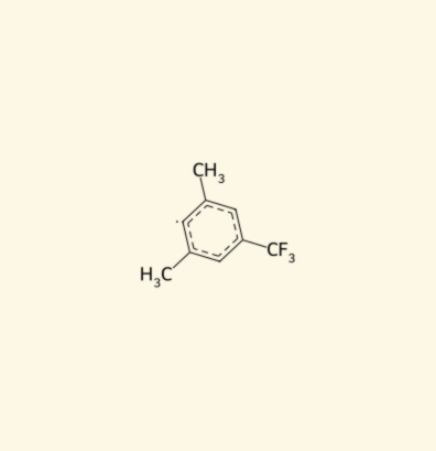 Cc1[c]c(C)cc(C(F)(F)F)c1